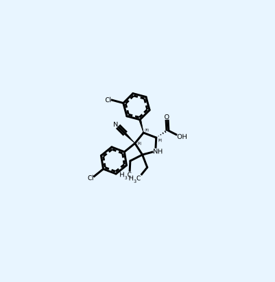 CCC1(CC)N[C@@H](C(=O)O)[C@H](c2cccc(Cl)c2)[C@@]1(C#N)c1ccc(Cl)cc1